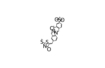 CSC1=NC(=O)C(=Cc2ccc3c(cnn3Cc3ccc(S(C)(=O)=O)cc3Cl)c2)S1